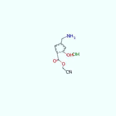 Cl.N#CCOC(=O)c1ccc(CN)cc1O